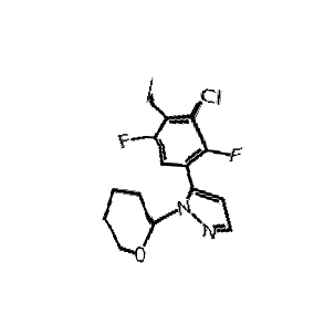 Fc1cc(-c2ccnn2C2CCCCO2)c(F)c(Cl)c1I